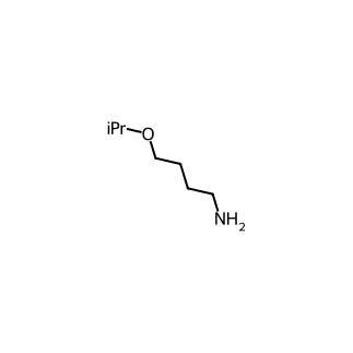 CC(C)OCCCCN